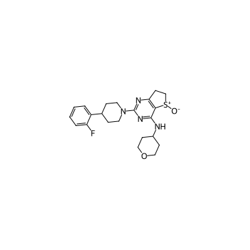 [O-][S+]1CCc2nc(N3CCC(c4ccccc4F)CC3)nc(NC3CCOCC3)c21